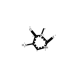 Cn1c(=S)[nH]cc(N)c1=O